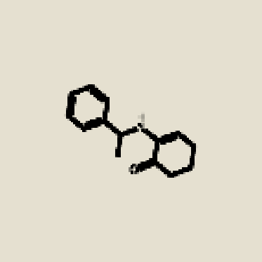 CC(NC1=CCCCC1=O)c1ccccc1